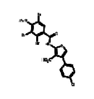 COc1c(Br)cc(C(=O)Nc2scc(-c3ccc(Cl)cc3)c2C(=O)O)c(Br)c1Br